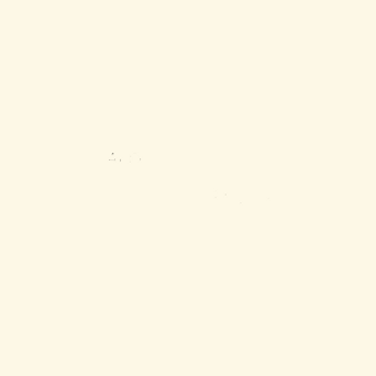 C1CC1.CC(=O)OC1CCOCC1